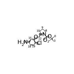 CC(C)(C)OC(=O)N1CCC[C@@H]1COc1cc(N)ccc1Cl